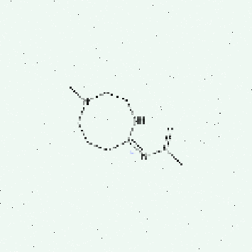 C=C(C)/N=C1/CCCN(C)CCN1